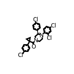 O=C(N1CCN(c2ccc(Cl)cc2Cl)[C@H](c2ccc(Cl)cc2)C1)C1(c2ccc(Cl)cc2)CC1